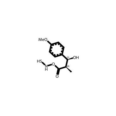 COc1ccc([C@@H](O)[C@@H](C)C(=O)ONS)cc1